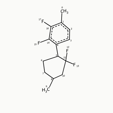 Cc1ccc(C2CCC(C)CC2(F)F)c(F)c1F